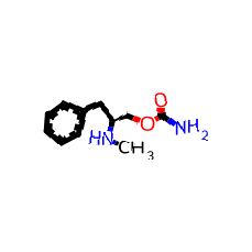 CN[C@H](COC(N)=O)Cc1ccccc1